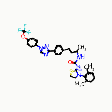 Cc1cccc(C)c1N1CCS/C1=N\C(=O)NC(C)CCc1ccc(-c2ncn(-c3ccc(OC(F)(F)F)cc3)n2)cc1